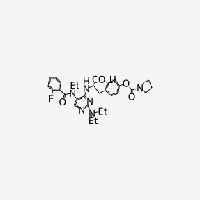 CCN(CC)c1ncc(N(CC)C(=O)c2ccccc2F)c(N[C@@H](Cc2ccc(OC(=O)N3CCCC3)cc2)C(=O)O)n1